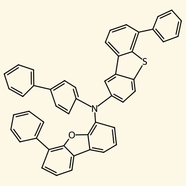 c1ccc(-c2ccc(N(c3ccc4sc5c(-c6ccccc6)cccc5c4c3)c3cccc4c3oc3c(-c5ccccc5)cccc34)cc2)cc1